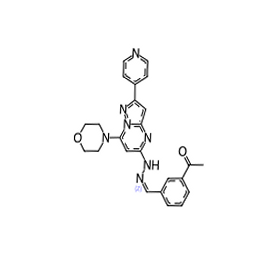 CC(=O)c1cccc(/C=N\Nc2cc(N3CCOCC3)n3nc(-c4ccncc4)cc3n2)c1